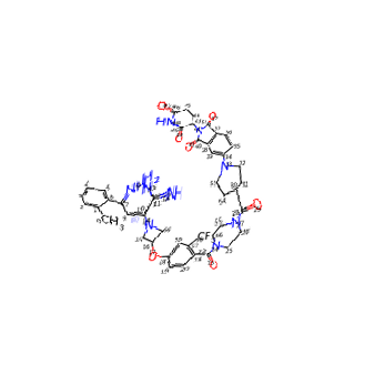 Cc1ccccc1C(=N)/C=C(\C(=N)N)N1CC(Oc2ccc(C(=O)N3CCN(C(=O)C4CCN(c5ccc6c(c5)C(=O)N(C5CCC(=O)NC5=O)C6=O)CC4)CC3)c(C(F)(F)F)c2)C1